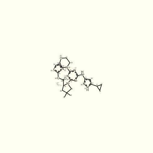 CC1(C)CN(c2nc(Nc3cc(C4CC4)[nH]n3)nc(N3CCOCC3)n2)[C@](C)(C(=O)Oc2nccs2)C1